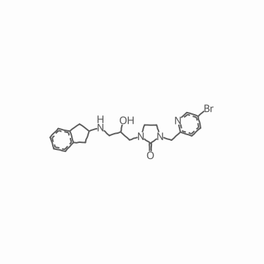 O=C1N(Cc2ccc(Br)cn2)CCN1CC(O)CNC1Cc2ccccc2C1